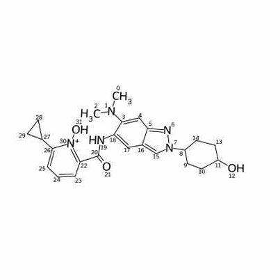 CN(C)c1cc2nn(C3CCC(O)CC3)cc2cc1NC(=O)c1cccc(C2CC2)[n+]1O